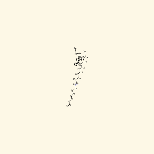 CCCCCCCC/C=C/CCCCCCC(CC(CC)CCCC)C(=O)O